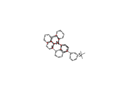 C[Si](C)(C)c1cccc(-c2ccc(N(c3ccccc3-c3ccccc3)c3ccccc3-c3cccc4cccc(-c5ccccc5F)c34)cc2)c1